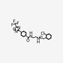 O=C(NCCNOCc1ccccc1Cl)c1ccc(-c2noc(C(F)(F)F)n2)cc1